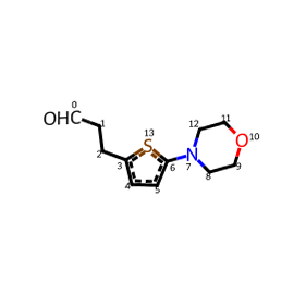 O=CCCc1ccc(N2CCOCC2)s1